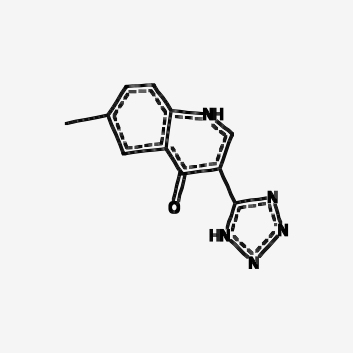 Cc1ccc2[nH]cc(-c3nnn[nH]3)c(=O)c2c1